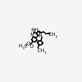 CCCCc1cc2c(N)nc3cc(C(=O)OC)ccc3c2n1Cc1ccc(CC)cc1